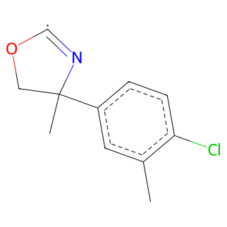 Cc1cc(C2(C)CO[C]=N2)ccc1Cl